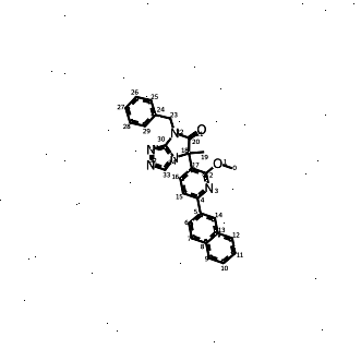 COc1nc(-c2ccc3ccccc3c2)ccc1C1(C)C(=O)N(Cc2ccccc2)c2nncn21